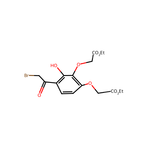 CCOC(=O)COc1ccc(C(=O)CBr)c(O)c1OCC(=O)OCC